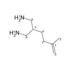 C=C(C)CCC(CN)CN